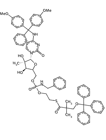 COc1ccc(C(Nc2ccn([C@@H]3OC(COP(=O)(NCc4ccccc4)OCCSC(=O)C(C)(C)COC(c4ccccc4)(c4ccccc4)c4ccccc4)[C@@H](O)[C@@]3(C)O)c(=O)n2)(c2ccccc2)c2ccc(OC)cc2)cc1